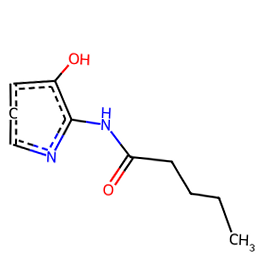 CCCCC(=O)Nc1ncccc1O